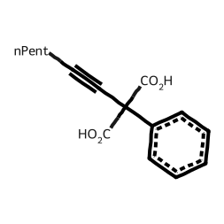 CCCCCC#CC(C(=O)O)(C(=O)O)c1ccccc1